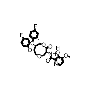 COc1ccnc(C(=O)N[C@H]2COC[C@H](Oc3ccc(F)cc3)[C@@H](Oc3ccc(F)cc3)[C@H](C)OC2=O)c1O